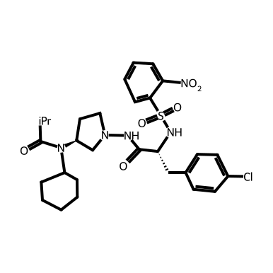 CC(C)C(=O)N(C1CCCCC1)[C@H]1CCN(NC(=O)[C@@H](Cc2ccc(Cl)cc2)NS(=O)(=O)c2ccccc2[N+](=O)[O-])C1